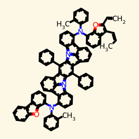 C=Cc1oc2c(N(c3ccccc3C)c3cccc4c3c3cccc5c6c(-c7ccccc7)c7c(c(-c8ccccc8)c6n4c35)c3cccc4c5c(N(c6ccccc6C)c6cccc8c6oc6ccccc68)cccc5n7c43)cccc2c1/C=C\C